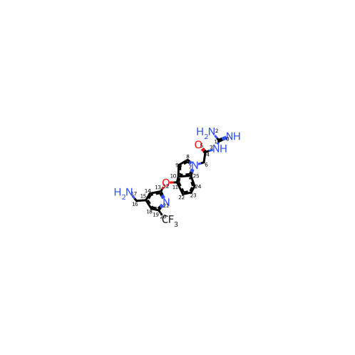 N=C(N)NC(=O)Cn1ccc2c(Oc3cc(CN)cc(C(F)(F)F)n3)cccc21